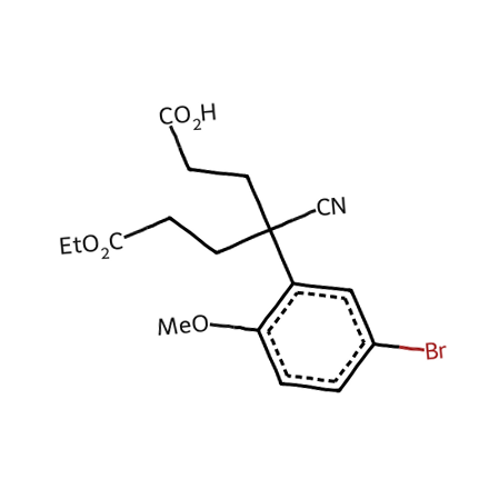 CCOC(=O)CCC(C#N)(CCC(=O)O)c1cc(Br)ccc1OC